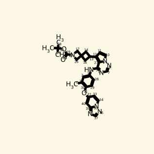 Cc1cc(Nc2ncnn3ccc(C4CC5(C4)CN(C(=O)OC(C)(C)C)C5)c23)ccc1Oc1ccn2ncnc2c1